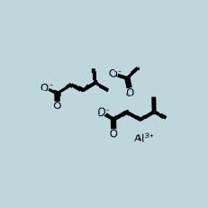 CC(=O)[O-].CC(C)CCC(=O)[O-].CC(C)CCC(=O)[O-].[Al+3]